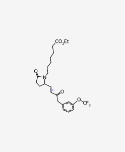 CCOC(=O)CCCCCCN1C(=O)CCC1/C=C/C(=O)Cc1cccc(OC(F)(F)F)c1